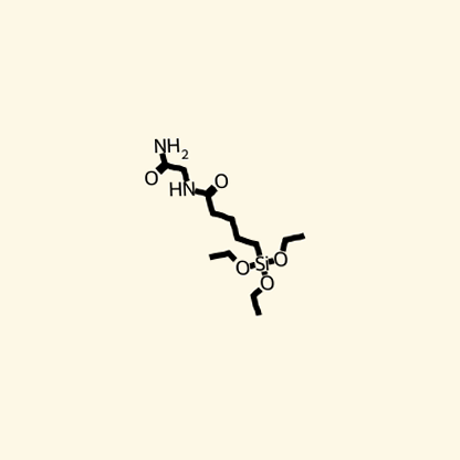 CCO[Si](CCCCC(=O)NCC(N)=O)(OCC)OCC